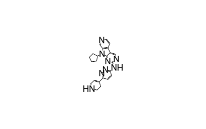 C1=C(c2ccc(Nc3ncc4c5ccncc5n(C5CCCC5)c4n3)nn2)CCNC1